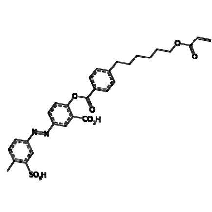 C=CC(=O)OCCCCCCc1ccc(C(=O)Oc2ccc(/N=N/c3ccc(C)c(S(=O)(=O)O)c3)cc2C(=O)O)cc1